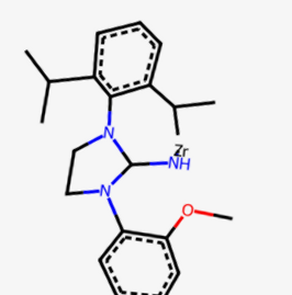 COc1ccccc1N1CCN(c2c(C(C)C)cccc2C(C)C)C1[NH][Zr]